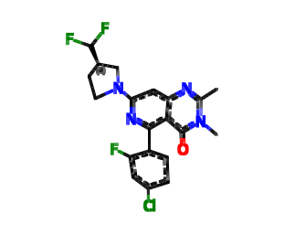 Cc1nc2cc(N3CC[C@@H](C(F)F)C3)nc(-c3ccc(Cl)cc3F)c2c(=O)n1C